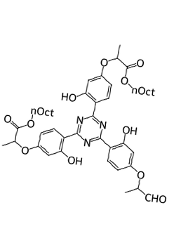 CCCCCCCCOC(=O)C(C)Oc1ccc(-c2nc(-c3ccc(OC(C)C=O)cc3O)nc(-c3ccc(OC(C)C(=O)OCCCCCCCC)cc3O)n2)c(O)c1